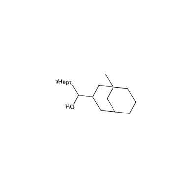 CCCCCCCC(O)C1CC2CCCC(C)(C2)C1